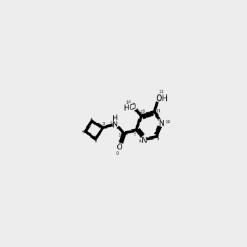 O=C(NC1CCC1)c1ncnc(O)c1O